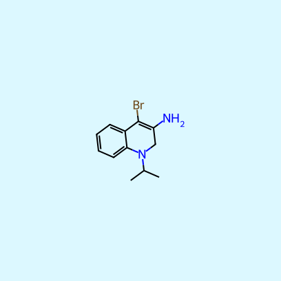 CC(C)N1CC(N)=C(Br)c2ccccc21